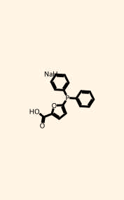 O=C(O)c1ccc(P(c2ccccc2)c2ccccc2)o1.[NaH]